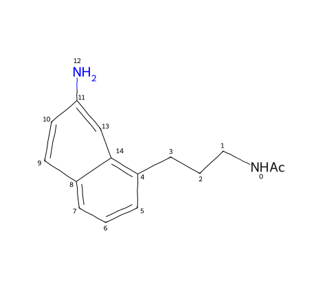 CC(=O)NCCCc1cccc2ccc(N)cc12